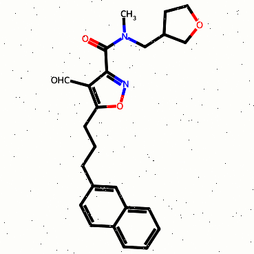 CN(CC1CCOC1)C(=O)c1noc(CCCc2ccc3ccccc3c2)c1C=O